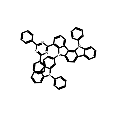 c1ccc(-c2nc(-c3ccccc3)nc(-c3cccc4c5c(ccc6c7ccccc7n(-c7ccccc7)c65)n(-c5ccc6c7ccccc7n(-c7ccccc7)c6c5)c34)n2)cc1